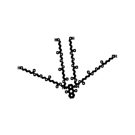 O=C(CCCCCO)OCCOCCOC(=O)CCCCC(=O)OCC(COC(=O)CCCCC(=O)OCCOCCOC(=O)CCCCCO)Nc1ccc(NC(COC(=O)CCCCC(=O)OCCOCCOC(=O)CCCCCO)COC(=O)CCCCC(=O)OCCOCCOC(=O)CCCCCO)c2c1C(=O)c1ccccc1C2=O